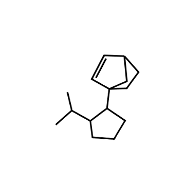 CC(C)C1CCCC1C12C=CC(CC1)C2